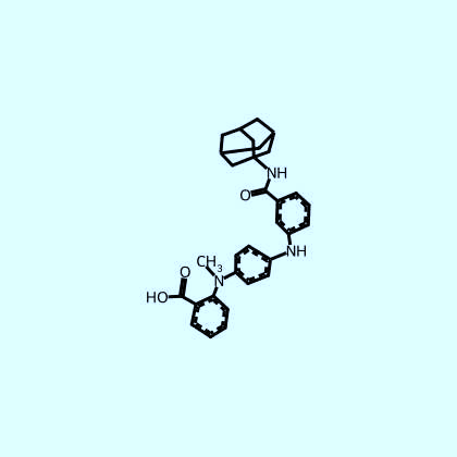 CN(c1ccc(Nc2cccc(C(=O)NC34CC5CC(CC(C5)C3)C4)c2)cc1)c1ccccc1C(=O)O